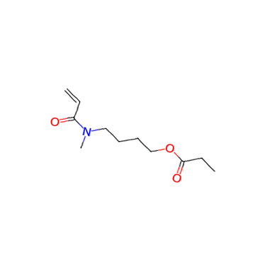 C=CC(=O)N(C)CCCCOC(=O)CC